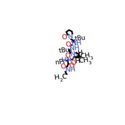 C=CCNC(=O)C(=O)C(CCC)NC(=O)[C@@H]1[C@@H]2[C@H](CN1C(=O)[C@@H](NC(=O)N[C@H](CN1CCCCC1=O)C(C)(C)C)C(C)(C)C)C2(C)C